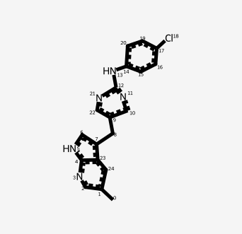 Cc1cnc2[nH]cc(Cc3cnc(Nc4ccc(Cl)cc4)nc3)c2c1